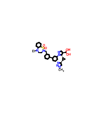 CCN1CCN(Cc2cccc(-c3cccc(-n4ncc(C(O)O)c4[C@@H]4C[C@H]4c4cn(C)nn4)c3)c2)S(=O)(=O)c2ccccc21